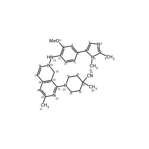 COc1cc(-c2cnc(C)n2C)ccc1NN1C=Cc2cc(C)nc(N3CCC(C)(C#N)CC3)c2C1